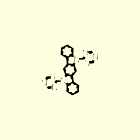 c1ccc2c(c1)c1cc3c(cc1n2-c1ncncn1)c1ccccc1n3-c1ncncn1